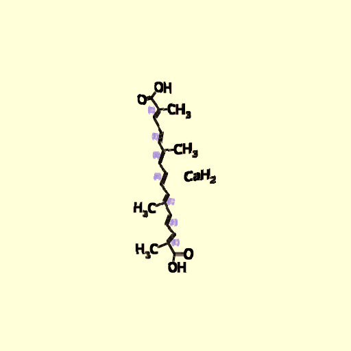 CC(/C=C/C=C(\C)C(=O)O)=C\C=C\C=C(C)\C=C\C=C(/C)C(=O)O.[CaH2]